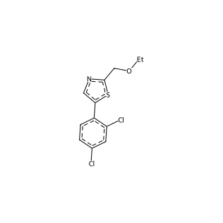 CCOCc1ncc(-c2ccc(Cl)cc2Cl)s1